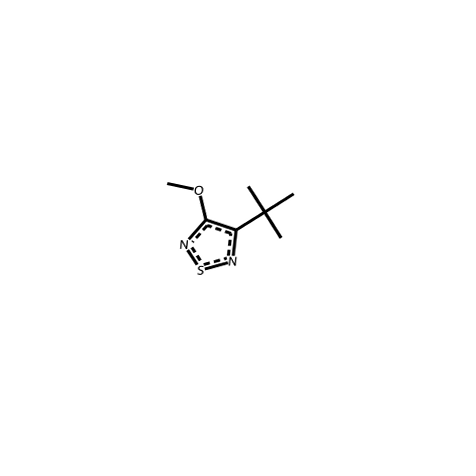 COc1nsnc1C(C)(C)C